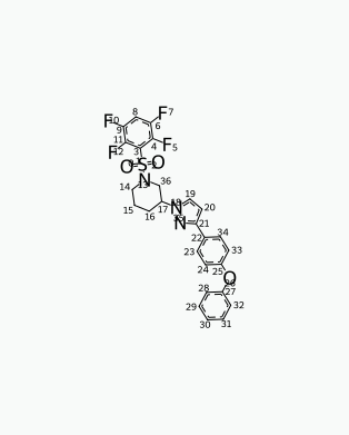 O=S(=O)(c1c(F)c(F)cc(F)c1F)N1CCCC(n2ccc(-c3ccc(Oc4ccccc4)cc3)n2)C1